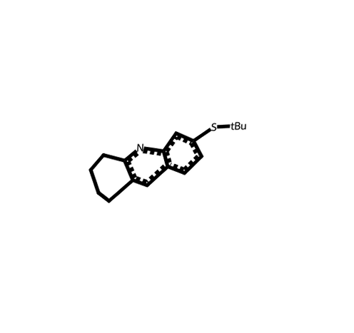 CC(C)(C)Sc1ccc2cc3c(nc2c1)CCCC3